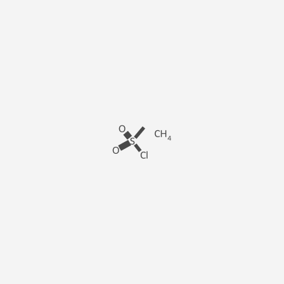 C.CS(=O)(=O)Cl